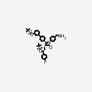 CC(C)(C)[Si](C)(C)Oc1cccc(-c2ccc([C@@H]3[C@@H](CC[C@H](O[Si](C)(C)C(C)(C)C)c4ccc(F)cc4)C(=O)N3c3ccc(CN)cc3)cc2)c1